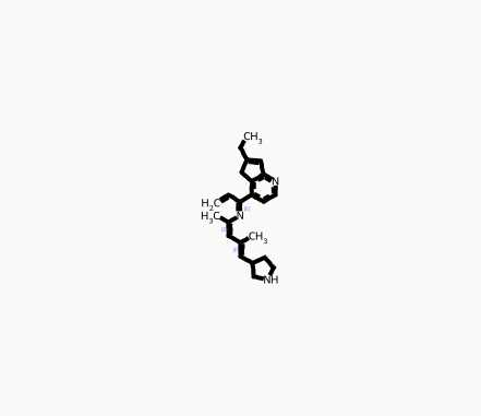 C=C\C(=N/C(C)=C\C(C)=C\C1CCNC1)c1ccnc2c1CC(CC)=C2